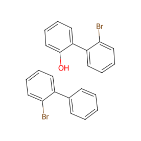 Brc1ccccc1-c1ccccc1.Oc1ccccc1-c1ccccc1Br